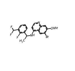 COc1cc2nccc(NC(C)c3cccc(C(F)F)c3F)c2cc1Br